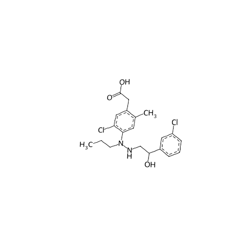 CCCN(NCC(O)c1cccc(Cl)c1)c1cc(C)c(CC(=O)O)cc1Cl